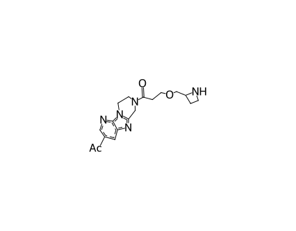 CC(=O)c1cnc2c(c1)nc1n2CCN(C(=O)CCOCC2CCN2)C1